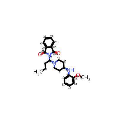 CCCC(N1CCC(Nc2ccccc2OC)CC1)N1C(=O)c2ccccc2C1=O